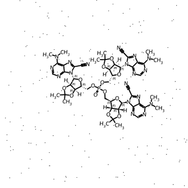 CN(C)c1ncnc2c1nc(C#N)n2[C@@H]1O[C@H](COP(=O)(OC[C@H]2O[C@@H](n3c(C#N)nc4c(N(C)C)ncnc43)[C@@H]3OC(C)(C)O[C@@H]32)OC[C@H]2O[C@@H](n3c(C#N)nc4c(N(C)C)ncnc43)[C@@H]3OC(C)(C)O[C@@H]32)[C@H]2OC(C)(C)O[C@H]21